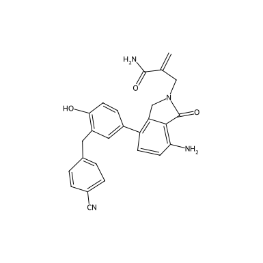 C=C(CN1Cc2c(-c3ccc(O)c(Cc4ccc(C#N)cc4)c3)ccc(N)c2C1=O)C(N)=O